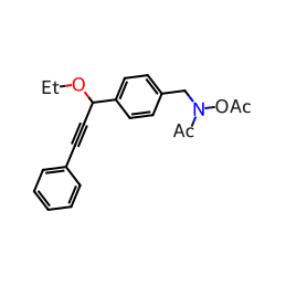 CCOC(C#Cc1ccccc1)c1ccc(CN(OC(C)=O)C(C)=O)cc1